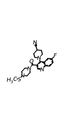 CSN1CCN(C(=O)c2cnc3ccc(F)cc3c2N2CCC(C#N)CC2)CC1